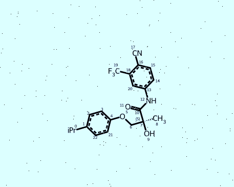 CC(C)c1ccc(OC[C@](C)(O)C(=O)Nc2ccc(C#N)c(C(F)(F)F)c2)cc1